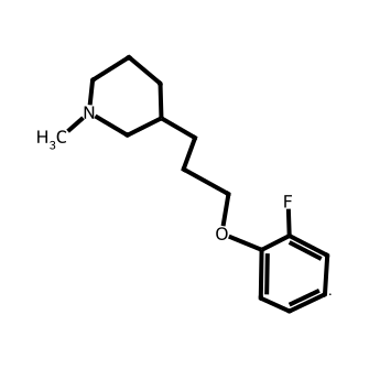 CN1CCCC(CCCOc2cc[c]cc2F)C1